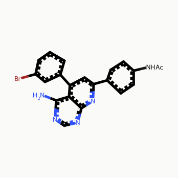 CC(=O)Nc1ccc(-c2cc(-c3cccc(Br)c3)c3c(N)ncnc3n2)cc1